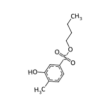 CCCCOS(=O)(=O)c1ccc(C)c(O)c1